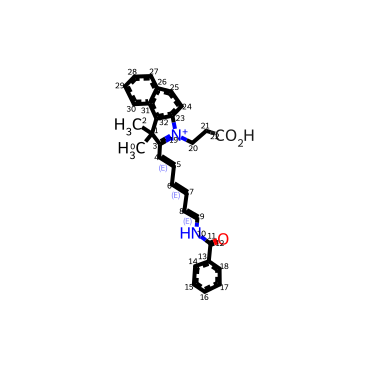 CC1(C)C(/C=C/C=C/C=C/NC(=O)c2ccccc2)=[N+](CCC(=O)O)c2ccc3ccccc3c21